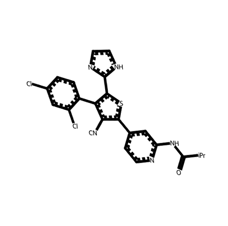 [C-]#[N+]c1c(-c2ccnc(NC(=O)C(C)C)c2)sc(-c2ncc[nH]2)c1-c1ccc(Cl)cc1Cl